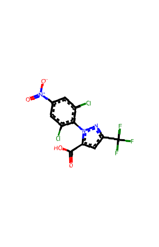 O=C(O)c1cc(C(F)(F)F)nn1-c1c(Cl)cc([N+](=O)[O-])cc1Cl